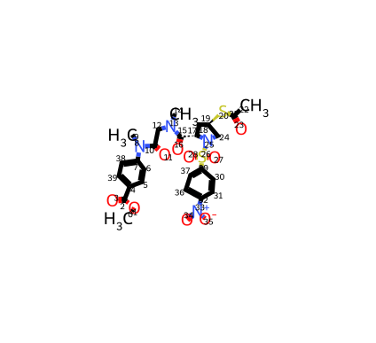 COC(=O)c1ccc(N(C)C(=O)CN(C)C(=O)[C@@H]2C[C@@H](SC(C)=O)CN2S(=O)(=O)c2ccc([N+](=O)[O-])cc2)cc1